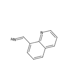 N=Cc1cccc2cccnc12